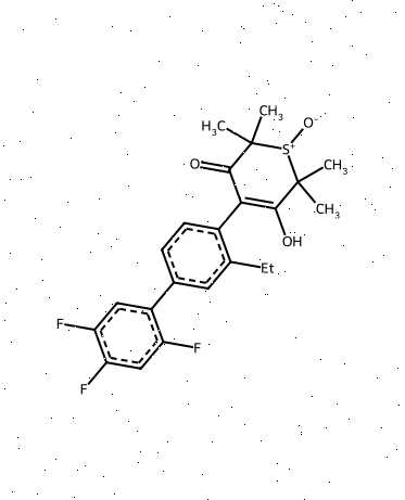 CCc1cc(-c2cc(F)c(F)cc2F)ccc1C1=C(O)C(C)(C)[S+]([O-])C(C)(C)C1=O